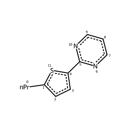 [CH2]CCc1ccc(-c2ncccn2)s1